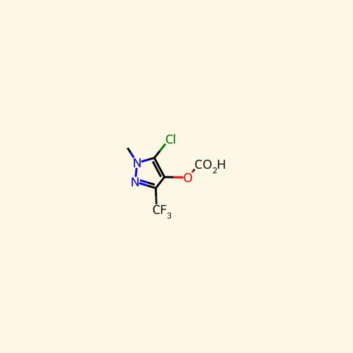 Cn1nc(C(F)(F)F)c(OC(=O)O)c1Cl